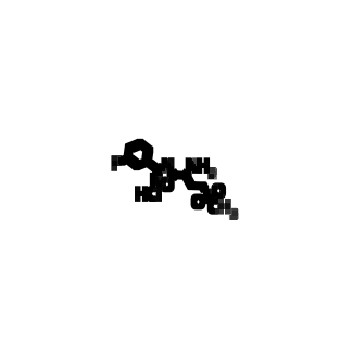 CS(=O)(=O)CCC(N)c1nc(-c2cccc(F)c2)no1.Cl